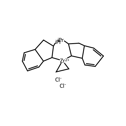 CC(C)C1CC2C=CC=CC2[CH]1[Zr+2]1([CH]2C3C=CC=CC3CC2C(C)C)[CH2][CH2]1.[Cl-].[Cl-]